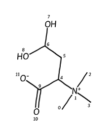 C[N+](C)(C)C(CC(O)O)C(=O)[O-]